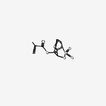 C=C(C)C(=O)Oc1c2c3oc1cc3S(=O)(=O)O2